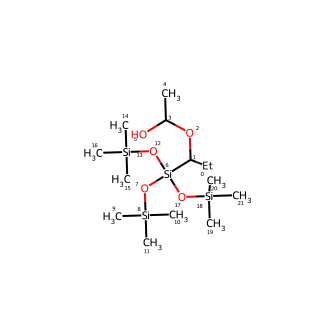 CCC(OC(C)O)[Si](O[Si](C)(C)C)(O[Si](C)(C)C)O[Si](C)(C)C